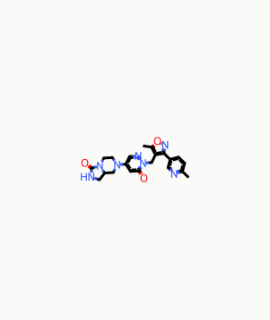 Cc1ccc(-c2noc(C)c2Cn2ncc(N3CCN4C(=O)NCC4C3)cc2=O)cn1